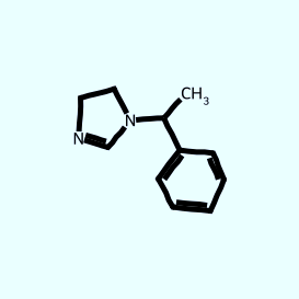 CC(c1ccccc1)N1C=NCC1